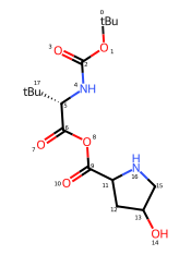 CC(C)(C)OC(=O)N[C@H](C(=O)OC(=O)C1CC(O)CN1)C(C)(C)C